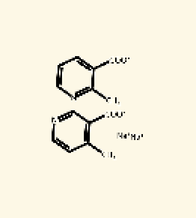 Cc1ccncc1C(=O)[O-].Cc1ncccc1C(=O)[O-].[Na+].[Na+]